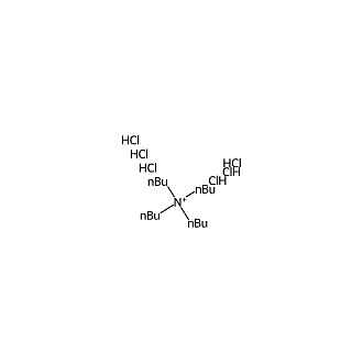 CCCC[N+](CCCC)(CCCC)CCCC.Cl.Cl.Cl.Cl.Cl.Cl